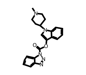 CN1CCC(n2cc(OC(=O)n3nnc4ccccc43)c3ccccc32)CC1